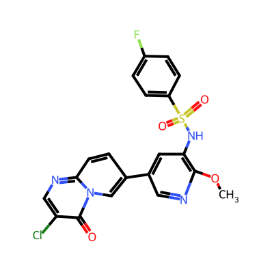 COc1ncc(-c2ccc3ncc(Cl)c(=O)n3c2)cc1NS(=O)(=O)c1ccc(F)cc1